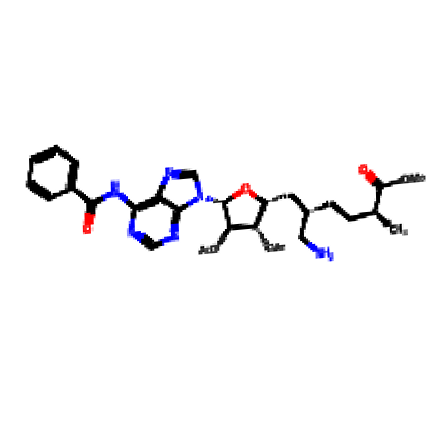 COC(=O)[C@@H](C)CC[C@H](CN)C[C@H]1O[C@@H](n2cnc3c(NC(=O)c4ccccc4)ncnc32)C(OC(C)=O)[C@H]1OC(C)=O